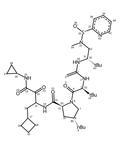 C=C(N[C@H](C(=O)N1C[C@H](CCCC)C[C@H]1C(=O)NC(CC1CCC1)C(=O)C(=O)NC1CC1)C(C)(C)C)N[C@H](CN(C)[S+]([O-])c1ccccn1)C(C)(C)C